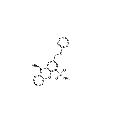 CCCCNc1cc(CSc2ccccn2)cc(S(N)(=O)=O)c1Oc1ccccc1